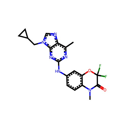 Cc1nc(Nc2ccc3c(c2)OC(F)(F)C(=O)N3C)nc2c1ncn2CC1CC1